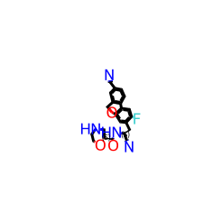 N#Cc1ccc2c(c1)COc1cc(C[C@@H](C#N)NC(=O)[C@@H]3CNCCO3)c(F)cc1-2